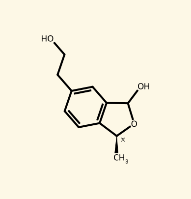 C[C@@H]1OC(O)c2cc(CCO)ccc21